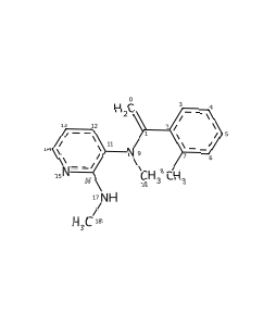 C=C(c1ccccc1C)N(C)c1cccnc1NC